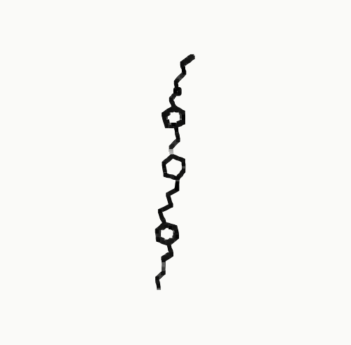 C=CCCOCc1ccc(CC[C@H]2CC[C@H](CCCCc3ccc(C=CCCC)cc3)CC2)cc1